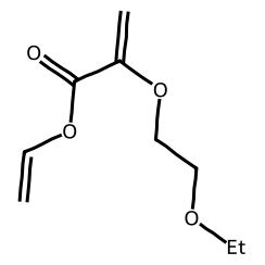 C=COC(=O)C(=C)OCCOCC